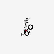 CC1(C)[C@@H]2CC[C@@]1(C)[C@@](OCC[N+](C)(C)[O-])(c1ccccc1)C2